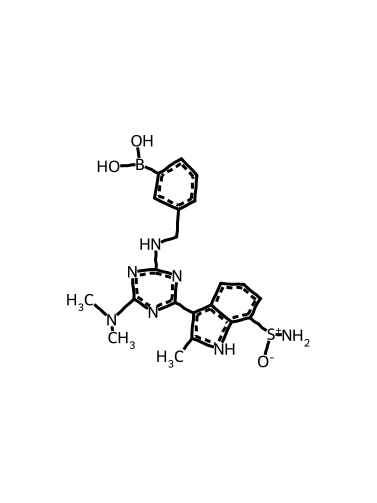 Cc1[nH]c2c([S+](N)[O-])cccc2c1-c1nc(NCc2cccc(B(O)O)c2)nc(N(C)C)n1